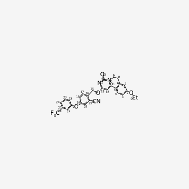 CCOc1ccc2c(c1)CCn1c-2cc(OCc2ccc(Oc3cccc(C(F)(F)F)c3)cc2C#N)nc1=O